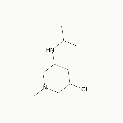 CC(C)NC1CC(O)CN(C)C1